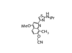 COc1cc(-c2csc(NC(C)C)n2)nc2c(C)c(OCC#N)ccc12